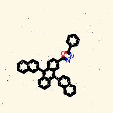 c1ccc(-c2nnc(-c3ccc4c(-c5ccc6ccccc6c5)c5ccccc5c(-c5ccc6ccccc6c5)c4c3)o2)cc1